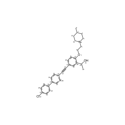 CC1CCN(CCOc2ccc(C#Cc3ccc(-c4ccc(Cl)cc4)cn3)cc2C(C)O)CC1